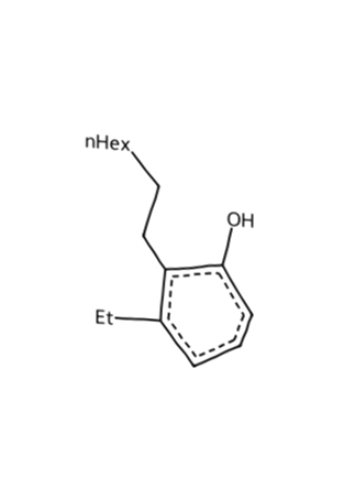 CCCCCCCCc1c(O)cccc1CC